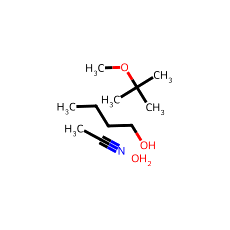 CC#N.CCCCO.COC(C)(C)C.O